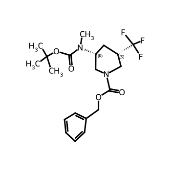 CN(C(=O)OC(C)(C)C)[C@@H]1C[C@H](C(F)(F)F)CN(C(=O)OCc2ccccc2)C1